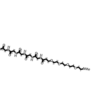 CNCCOCCOCCOCCOCCC(=O)NCC(=O)NCC(=O)NCC(=O)NCC(=O)NCC(N)=O